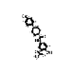 CS(=O)(=O)c1cc(NC(=O)[C@H]2CC[C@H](c3ccc(Cl)cc3)CC2)ccc1O